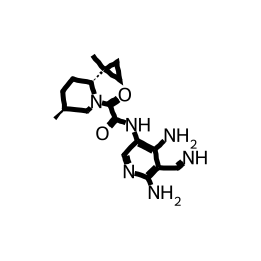 C[C@H]1CC[C@H](C2(C)CC2)N(C(=O)C(=O)Nc2cnc(N)c(C=N)c2N)C1